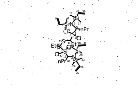 C=C[Si](C)(C)N(C(CCC)[Si](Cl)(Cl)C(CC)SC(CC)[Si](Cl)(Cl)C(CCC)N([Si](C)(C)C=C)[Si](C)(C)C=C)[Si](C)(C)C=C